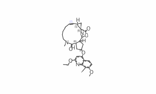 CCOc1cc(O[C@H]2C[C@H]3C(=O)N(C)CCCC/C=C\[C@@H]4C[C@@]45N=C(OC5=O)[C@@H]3C2)c2ccc(OC)c(C)c2n1